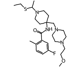 CCSC(C)N1CCC(CN2CCN(CCOC)CC2)(NC(=O)c2cc(F)ccc2C)CC1